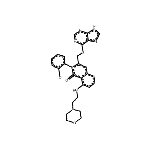 O=c1c2c(NCCN3CCOCC3)cccc2nc(CSc2ncnc3[nH]cnc23)n1-c1ccccc1Cl